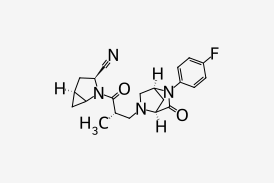 C[C@@H](CN1C[C@@H]2C[C@H]1C(=O)N2c1ccc(F)cc1)C(=O)N1C2C[C@H]2C[C@H]1C#N